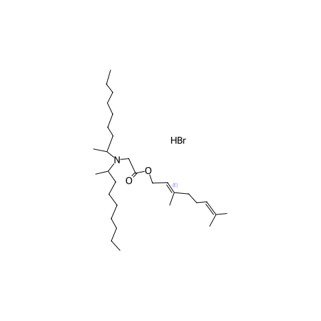 Br.CCCCCCCC(C)N(CC(=O)OC/C=C(\C)CCC=C(C)C)C(C)CCCCCCC